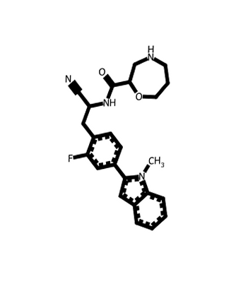 Cn1c(-c2ccc(CC(C#N)NC(=O)C3CNCCCO3)c(F)c2)cc2ccccc21